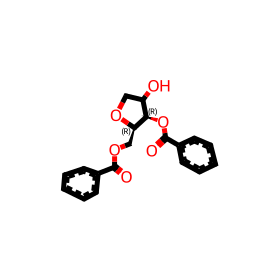 O=C(OC[C@H]1OCC(O)[C@H]1OC(=O)c1ccccc1)c1ccccc1